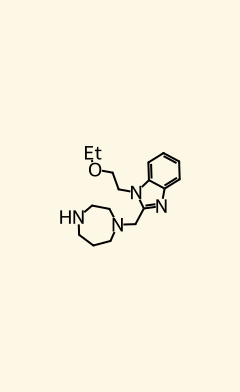 CCOCCn1c(CN2CCCNCC2)nc2ccccc21